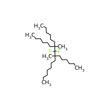 CCCCCCCC(C)(CCCCCC)C(F)(F)C(C)(CCCCCC)CCCCCC